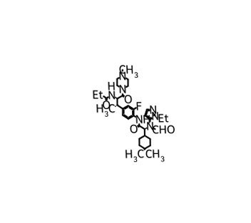 CCC(=O)N[C@@H](C(=O)N1CCN(C)CC1)[C@@H](C)c1ccc(NC(=O)[C@H](C2CCC(C)(C)CC2)N(C=O)c2ccnn2CC)c(F)c1